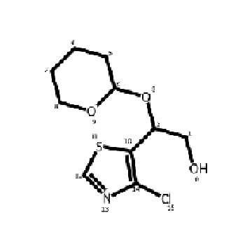 OCC(OC1CCCCO1)c1scnc1Cl